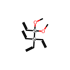 C=C[Si](C=C)(C=C)[Si](C=C)(OC)OC